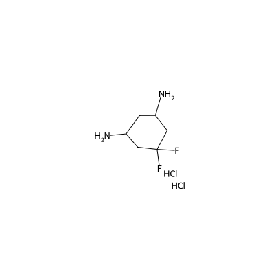 Cl.Cl.NC1CC(N)CC(F)(F)C1